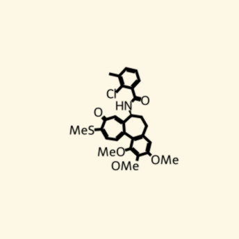 COc1cc2c(c(OC)c1OC)-c1ccc(SC)c(=O)cc1[C@@H](NC(=O)c1cccc(C)c1Cl)CC2